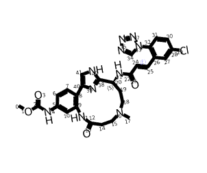 COC(=O)Nc1ccc2c(c1)NC(=O)CCN(C)CC[C@H](NC(=O)/C=C/c1cc(Cl)ccc1-n1cnnn1)c1nc-2c[nH]1